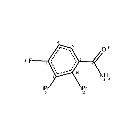 CC(C)c1c(F)ccc(C(N)=O)c1C(C)C